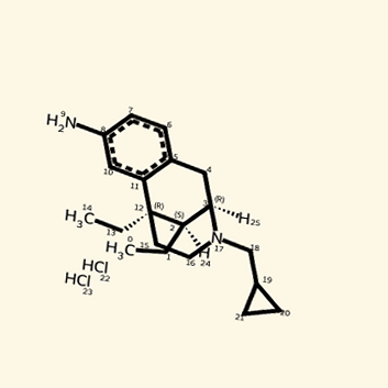 CC[C@@H]1[C@H]2Cc3ccc(N)cc3[C@]1(CC)CCN2CC1CC1.Cl.Cl